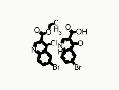 CCOC(=O)c1cnc2ccc(Br)cc2c1Cl.O=C(O)c1c[nH]c2ccc(Br)cc2c1=O